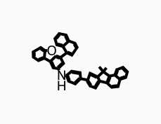 CC1(C)c2cc(-c3ccc(Nc4cc(-c5cccc6ccccc56)c5oc6ccccc6c5c4)cc3)ccc2-c2ccc3ccccc3c21